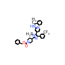 C[C@H](Nc1cc(-c2c(-c3cccc(C(F)(F)F)c3)nc(C3CCN(C(=O)OCc4ccccc4)CC3)n2C)ccn1)c1ccccc1